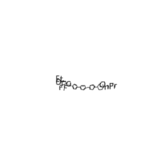 CCCC1CCC(c2ccc(-c3ccc(-c4ccc(COc5ccc(OCC)c(F)c5F)cc4)cc3)cc2)CO1